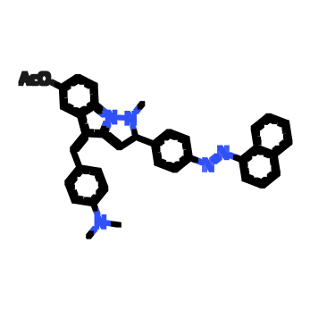 CC(=O)Oc1ccc2c(c1)/c(=C/c1ccc(N(C)C)cc1)c1n2N(C)C(c2ccc(/N=N/c3cccc4ccccc34)cc2)C=1